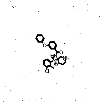 Cc1c(Cl)cccc1S(=O)(=O)[C@@]1(NC(=O)c2cccc(Oc3ccccc3)c2)CCCNC1